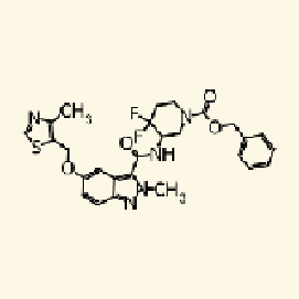 Cc1ncsc1COc1ccc2nn(C)c(C(=O)NC3CN(C(=O)OCc4ccccc4)CCC3(F)F)c2c1